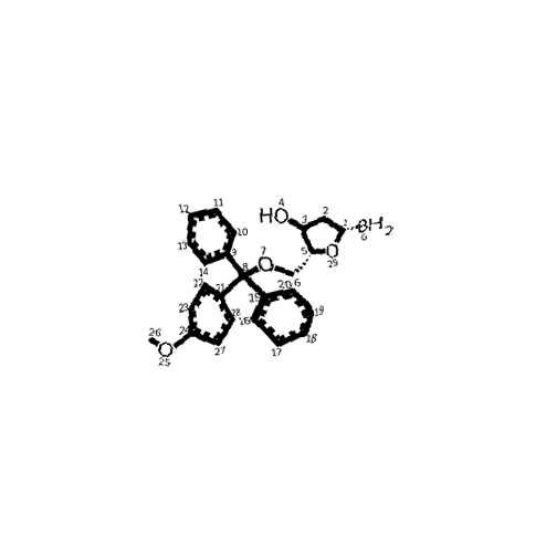 B[C@H]1CC(O)[C@@H](COC(c2ccccc2)(c2ccccc2)c2ccc(OC)cc2)O1